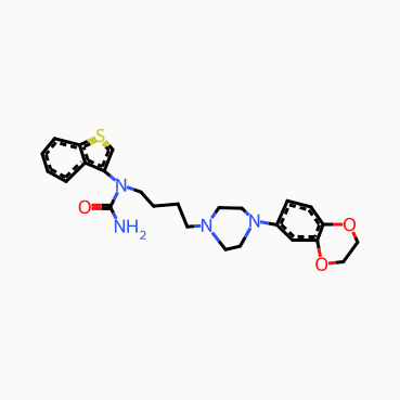 NC(=O)N(CCCCN1CCN(c2ccc3c(c2)OCCO3)CC1)c1csc2ccccc12